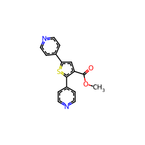 COC(=O)c1cc(-c2ccncc2)sc1-c1ccncc1